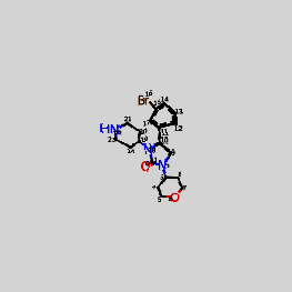 O=C1N(C2CCOCC2)CC(c2cccc(Br)c2)N1C1CCNCC1